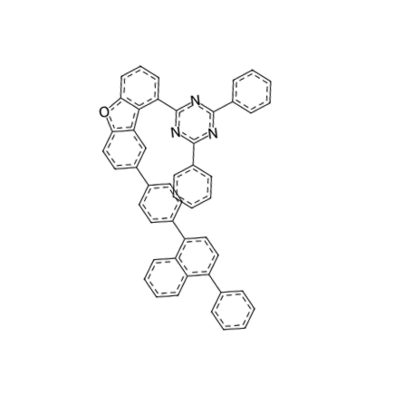 c1ccc(-c2nc(-c3ccccc3)nc(-c3cccc4oc5ccc(-c6ccc(-c7ccc(-c8ccccc8)c8ccccc78)cc6)cc5c34)n2)cc1